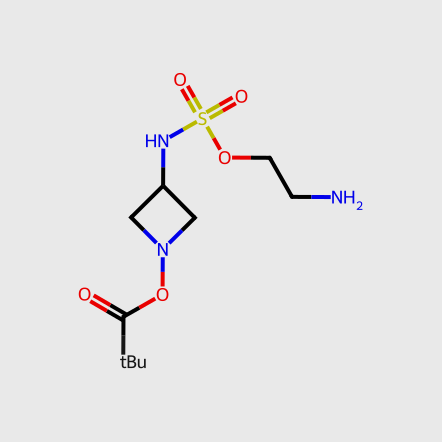 CC(C)(C)C(=O)ON1CC(NS(=O)(=O)OCCN)C1